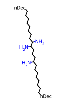 CCCCCCCCCCCCCCCCCCC(N)CCCC(N)C(N)CCCCCCCCCCCCCCCCCC